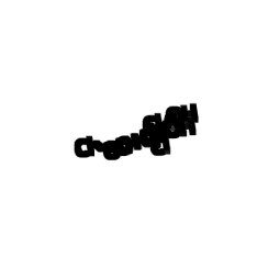 CC(C)(c1ccc(OCCCCl)cc1)c1cc(Cl)c(OC[C@@H](O)CO)c(Cl)c1